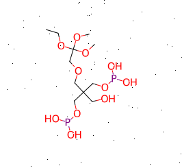 CCOC(COCC(CO)(COP(O)O)COP(O)O)(OC)OC